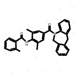 Cc1ccccc1C(=O)Nc1c(C)cc(C(=O)N2Cc3ccccc3Cc3ccccc32)cc1C